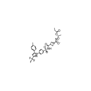 CCC(=O)OC(C)O/N=[N+](\[O-])N1CC(C(=O)NS(=O)(=O)c2ccc(-n3nc(C(F)(F)F)cc3-c3ccc(C)cc3)cc2)C1